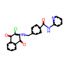 O=C(Nc1ccccn1)c1ccc(CNC2=C(Cl)C(=O)c3ccccc3C2=O)cc1